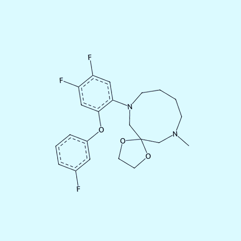 CN1CCCCN(c2cc(F)c(F)cc2Oc2cccc(F)c2)CC2(C1)OCCO2